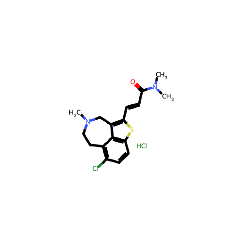 CN1CCc2c(Cl)ccc3sc(/C=C/C(=O)N(C)C)c(c23)C1.Cl